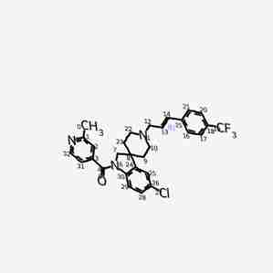 Cc1cc(C(=O)N2CC3(CCN(C/C=C/c4ccc(C(F)(F)F)cc4)CC3)c3cc(Cl)ccc32)ccn1